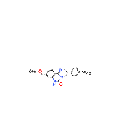 CNc1ccc(C2CN=C3c4ccc(COC=O)cc4NC(=O)N3C2)cc1